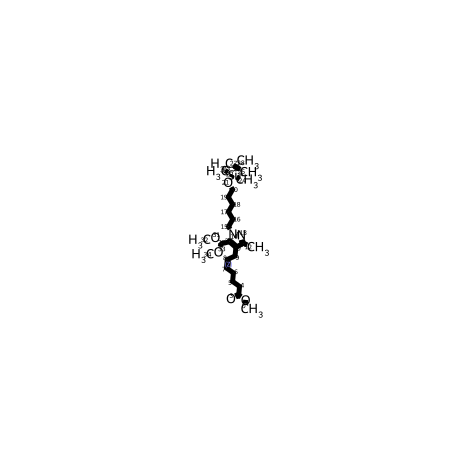 COC(=O)CCC/C=C\Cc1c(C)nn(CCCCCCO[Si](C)(C)C(C)(C)C)c1C(OC)OC